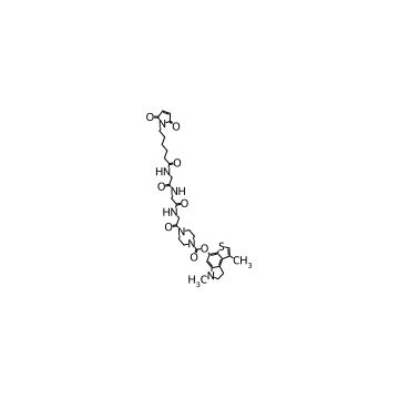 Cc1csc2c(OC(=O)N3CCN(C(=O)CNC(=O)CNC(=O)CNC(=O)CCCCCN4C(=O)C=CC4=O)CC3)cc3c(c12)CCN3C